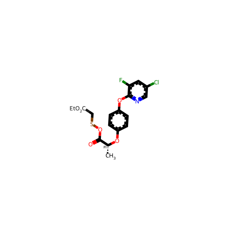 CCOC(=O)CSOC(=O)[C@@H](C)Oc1ccc(Oc2ncc(Cl)cc2F)cc1